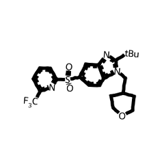 CC(C)(C)c1nc2cc(S(=O)(=O)c3cccc(C(F)(F)F)n3)ccc2n1CC1CCOCC1